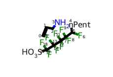 C=CCN.CCCCCC(F)C(F)(F)C(F)(F)C(F)(F)C(F)(F)S(=O)(=O)O